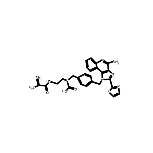 C=C(C)C(=O)NCCN(Cc1ccc(Cn2c(-c3nccs3)nc3c(N)nc4ccccc4c32)cc1)C(=O)O